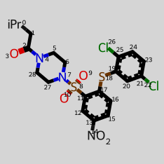 CC(C)CC(=O)N1CCN(S(=O)(=O)c2cc([N+](=O)[O-])ccc2Sc2cc(Cl)ccc2Cl)CC1